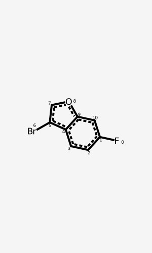 Fc1ccc2c(Br)coc2c1